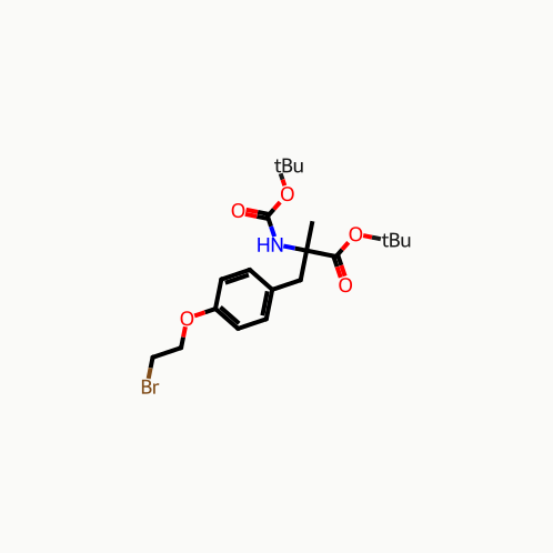 CC(C)(C)OC(=O)NC(C)(Cc1ccc(OCCBr)cc1)C(=O)OC(C)(C)C